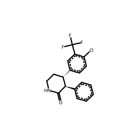 O=C1NCC[C@H](c2ccc(Cl)c(C(F)(F)F)c2)[C@H]1c1ccccc1